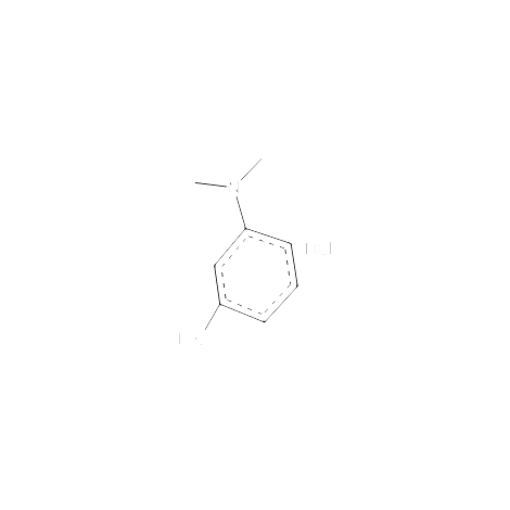 CN(C)c1cccc(C(F)(F)F)c1.Cl